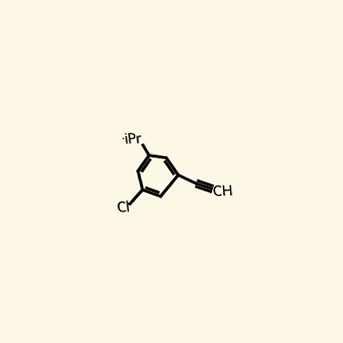 C#Cc1cc(Cl)cc([C](C)C)c1